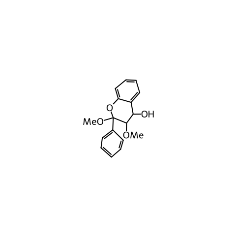 COC1C(O)c2ccccc2OC1(OC)c1ccccc1